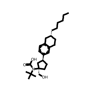 CCCCCC[C@@H]1CCc2cc([C@H]3CC[C@@](CO)(N(C(=O)O)C(C)(C)C)C3)ccc2C1